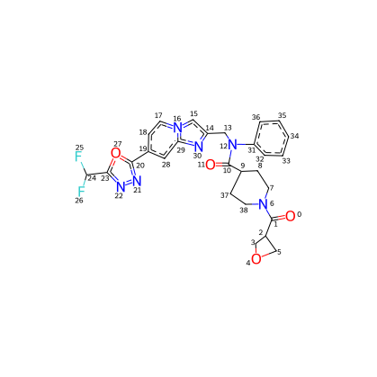 O=C(C1COC1)N1CCC(C(=O)N(Cc2cn3ccc(-c4nnc(C(F)F)o4)cc3n2)c2ccccc2)CC1